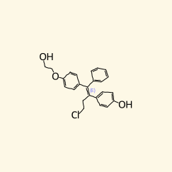 OCCOc1ccc(/C(=C(\CCCl)c2ccc(O)cc2)c2ccccc2)cc1